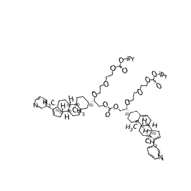 CC(C)OC(=O)OCCOCCOC(COC(=O)OCC(OCCOCCOC(=O)OC(C)C)[C@H]1CC[C@@]2(C)C(=CC[C@@H]3[C@@H]2CC[C@]2(C)C(c4cccnc4)=CC[C@@H]32)C1)[C@H]1CC[C@@]2(C)C(=CC[C@@H]3[C@@H]2CC[C@]2(C)C(c4cccnc4)=CC[C@@H]32)C1